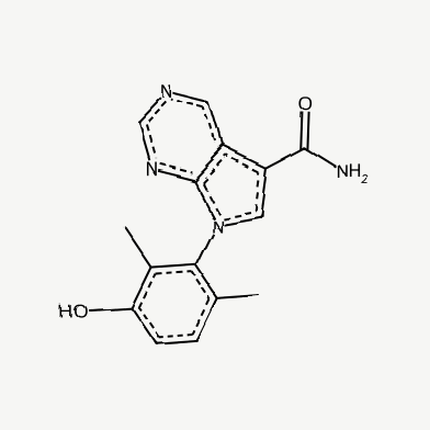 Cc1ccc(O)c(C)c1-n1cc(C(N)=O)c2cncnc21